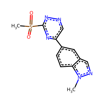 Cn1ncc2cc(-c3cnnc(S(C)(=O)=O)n3)ccc21